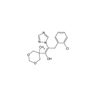 CC1(/C(O)=C(/Cc2ccccc2Cl)n2cncn2)COCOC1